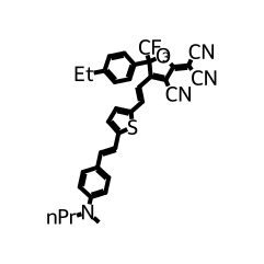 CCCN(C)c1ccc(/C=C/c2ccc(/C=C/C3=C(C#N)C(=C(C#N)C#N)OC3(c3ccc(CC)cc3)C(F)(F)F)s2)cc1